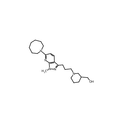 Cn1nc(CCCN2CCCC(CO)C2)c2ccc(N3CCCCCCC3)nc21